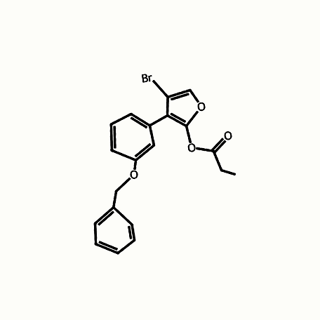 CCC(=O)Oc1occ(Br)c1-c1cccc(OCc2ccccc2)c1